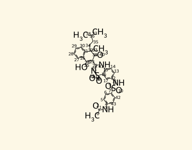 CC(=O)Nc1ccc(S(=O)(=O)Nc2ccc3c(c2)S(=O)(=O)N=C(C2=C(O)c4ccccc4C(C)(CCC(C)C)C2=O)N3)cc1